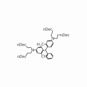 CCCCCCCCCCCCN(CCCCCCCCCCCC)c1ccc(C(c2ccccc2)c2ccc(N(CCCCCCCCCCCC)CCCCCCCCCCCC)cc2C)c(C)c1